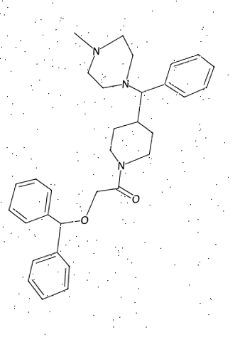 CN1CCN(C(c2ccccc2)C2CCN(C(=O)COC(c3ccccc3)c3ccccc3)CC2)CC1